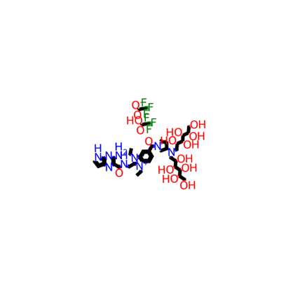 CCn1c(CNC(=O)c2nc3cc[nH]c3nc2N)[n+](CC)c2ccc(C(=O)N3CC[C@H](N(CC(O)C(O)C(O)C(O)CO)CC(O)C(O)C(O)C(O)CO)C3)cc21.O=C(O)C(F)(F)F.O=C([O-])C(F)(F)F